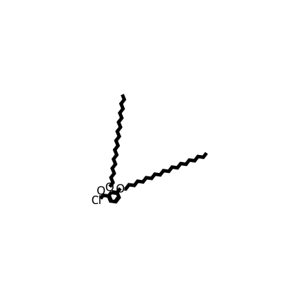 CCCCCCCCCCCCCCCCCCCCOc1cccc(C(=O)Cl)c1OCCCCCCCCCCCCCCCCCCCC